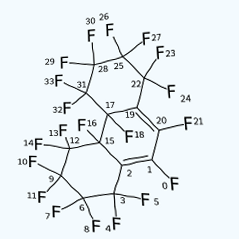 FC1=C2C(F)(F)C(F)(F)C(F)(F)C(F)(F)C2(F)C2(F)C(=C1F)C(F)(F)C(F)(F)C(F)(F)C2(F)F